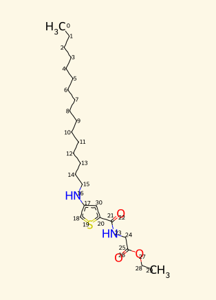 CCCCCCCCCCCCCCCCNc1csc(C(=O)NCC(=O)OCC)c1